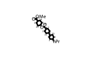 CCCC1CCC(C2CCC(C(=O)OC3CCC(C(=O)OC)CC3)CC2)CC1